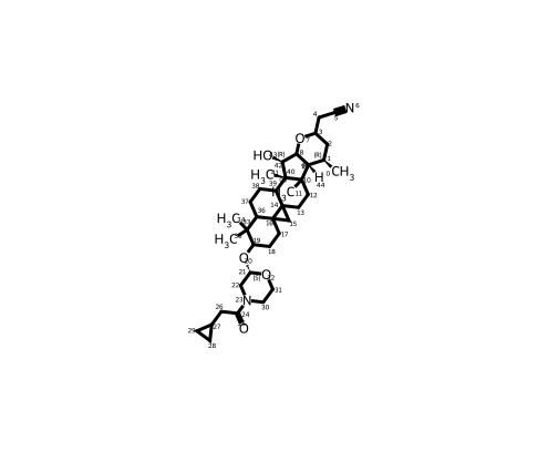 C[C@@H]1CC(CC#N)OC2[C@H]1C1(C)CCC34CC35CCC(O[C@H]3CN(C(=O)CC6CC6)CCO3)C(C)(C)C5CCC4[C@]1(C)[C@H]2O